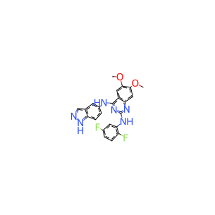 COc1cc2nc(Nc3cc(F)ccc3F)nc(Nc3ccc4[nH]ncc4c3)c2cc1OC